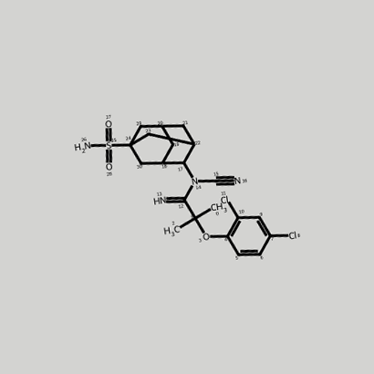 CC(C)(Oc1ccc(Cl)cc1Cl)C(=N)N(C#N)C1C2CC3CC1CC(S(N)(=O)=O)(C3)C2